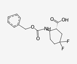 O=C(N[C@@H]1CCC(F)(F)C[C@H]1C(=O)O)OCc1ccccc1